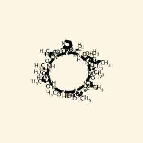 C/C=C/C[C@@H](C)[C@@H](O)[C@H]1C(=O)N[C@@H](CC)C(=O)N(C)[C@H](Sc2ccccn2)C(=O)N(C)[C@@H](CC(C)C)C(=O)N[C@@H](C(C)C)C(=O)N(C)[C@@H](CC(C)C)C(=O)N[C@@H](C)C(=O)N[C@H](C)C(=O)N(C)[C@@H](CC(C)C)C(=O)N(C)[C@@H](CC(C)C)C(=O)N(C)[C@@H](C(C)C)C(=O)N1C